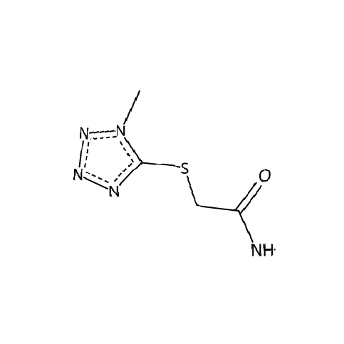 Cn1nnnc1SCC([NH])=O